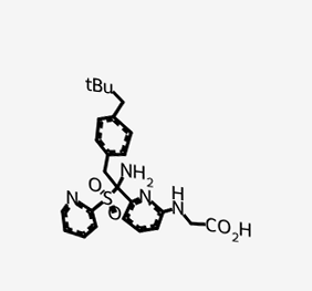 CC(C)(C)Cc1ccc(CC(N)(c2cccc(NCC(=O)O)n2)S(=O)(=O)c2ccccn2)cc1